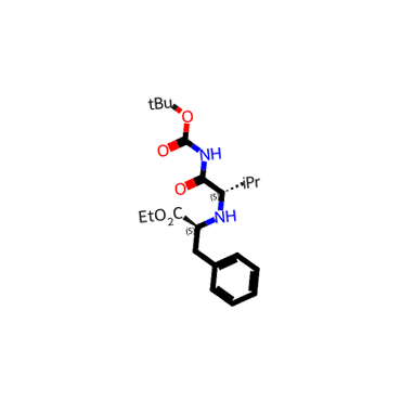 CCOC(=O)[C@H](Cc1ccccc1)N[C@H](C(=O)NC(=O)OC(C)(C)C)C(C)C